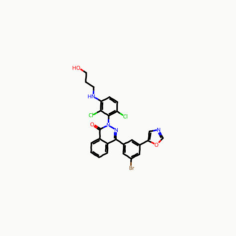 O=c1c2ccccc2c(-c2cc(Br)cc(-c3cnco3)c2)nn1-c1c(Cl)ccc(NCCCO)c1Cl